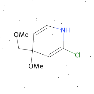 COCC1(OC)C=CNC(Cl)=C1